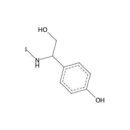 OCC(NI)c1ccc(O)cc1